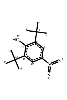 CC(C)(C)c1cc(P(=S)=S)cc(C(C)(C)C)c1O